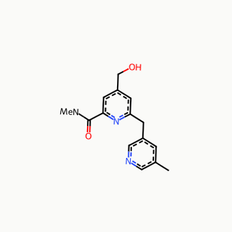 CNC(=O)c1cc(CO)cc(Cc2cncc(C)c2)n1